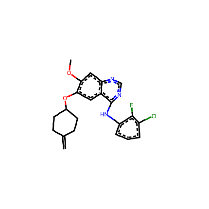 C=C1CCC(Oc2cc3c(Nc4cccc(Cl)c4F)ncnc3cc2OC)CC1